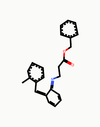 Cc1ccccc1/C=C1/C=CC=C/C1=N\CCC(=O)OCc1ccccc1